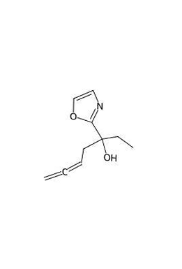 C=C=CCC(O)(CC)c1ncco1